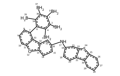 Bc1c(B)c(B)c(-c2cccc3oc4ccc(Nc5ccc6c(c5)sc5ccccc56)cc4c23)c(B)c1B